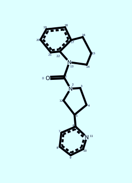 O=C(N1CCC(c2ccccn2)C1)N1CCCc2ccccc21